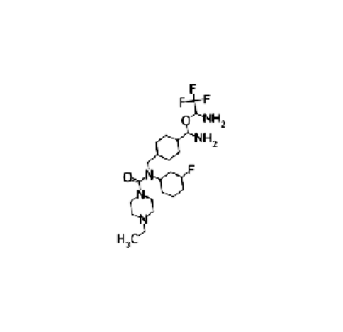 CCN1CCN(C(=O)N(CC2CCC(C(N)OC(N)C(F)(F)F)CC2)C2CCCC(F)C2)CC1